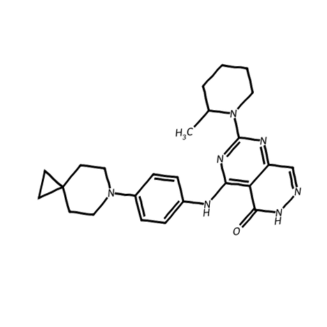 CC1CCCCN1c1nc(Nc2ccc(N3CCC4(CC3)CC4)cc2)c2c(=O)[nH]ncc2n1